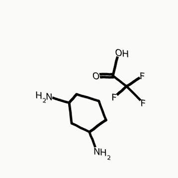 NC1CCCC(N)C1.O=C(O)C(F)(F)F